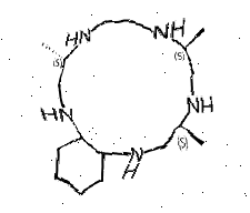 C[C@H]1CNC2CCCCC2NC[C@H](C)NC[C@H](C)NCCN1